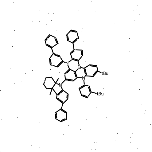 CC(C)(C)c1cccc(N2c3cc(C(C)(C)C)ccc3B3c4ccc(-c5ccccc5)cc4N(c4cccc(-c5ccccc5)c4)c4cc(N5c6ccc(-c7ccccc7)cc6C6(C)CCCCC56C)cc2c43)c1